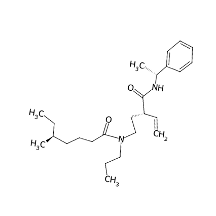 C=C[C@H](CCN(CCC)C(=O)CCC[C@@H](C)CC)C(=O)N[C@H](C)c1ccccc1